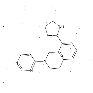 c1cc2c(c(C3CCCN3)c1)CN(c1ccncn1)CC2